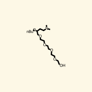 CCCCOC(CCN(C)C)COCCOCCOCCOCCO